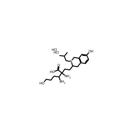 BC(CCCO)C(N)(CCC1Cc2ccc(O)cc2CN1CC(C)C)C(=O)O.Cl.Cl